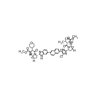 COC(=O)N[C@H](C(=O)N1[C@@H]2C[C@@H]2C[C@H]1c1nc(Cl)c(-c2ccc3cc(-c4ccc5nc([C@@H]6C[C@H]7C[C@H]7N6C(=O)[C@@H](NC(=O)OC)C6CCOCC6)[nH]c5c4)ccc3c2)[nH]1)C(C)C